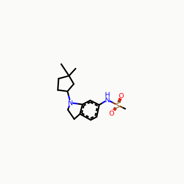 CC1(C)CCC(N2CCc3ccc(NS(C)(=O)=O)cc32)C1